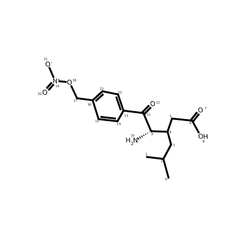 CC(C)CC(CC(=O)O)[C@H](N)C(=O)c1ccc(CO[N+](=O)[O-])cc1